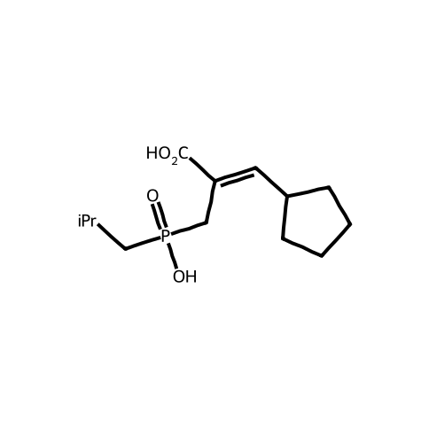 CC(C)CP(=O)(O)C/C(=C\C1CCCC1)C(=O)O